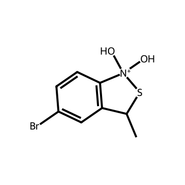 CC1S[N+](O)(O)c2ccc(Br)cc21